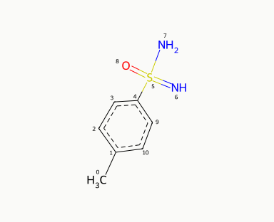 Cc1ccc(S(=N)(N)=O)cc1